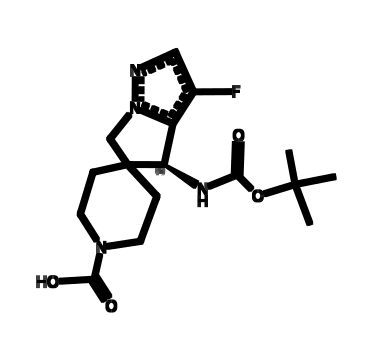 CC(C)(C)OC(=O)N[C@@H]1c2c(F)cnn2CC12CCN(C(=O)O)CC2